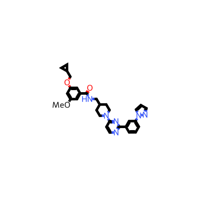 COc1cc(OCC2CC2)cc(C(=O)NCC2CCN(c3ccnc(-c4cccc(-n5cccn5)c4)n3)CC2)c1